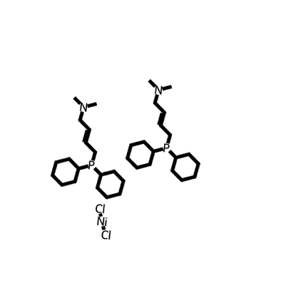 CN(C)CC=CCP(C1CCCCC1)C1CCCCC1.CN(C)CC=CCP(C1CCCCC1)C1CCCCC1.[Cl][Ni][Cl]